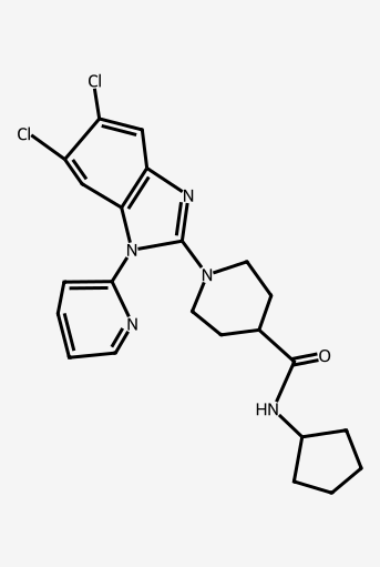 O=C(NC1CCCC1)C1CCN(c2nc3cc(Cl)c(Cl)cc3n2-c2ccccn2)CC1